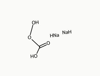 O=C(O)OO.[NaH].[NaH]